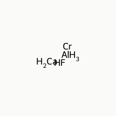 F.[AlH3].[CaH2].[Cr]